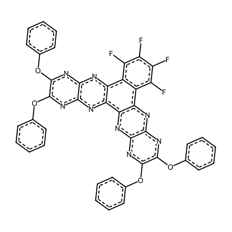 Fc1c(F)c(F)c2c3nc4nc(Oc5ccccc5)c(Oc5ccccc5)nc4nc3c3nc4nc(Oc5ccccc5)c(Oc5ccccc5)nc4nc3c2c1F